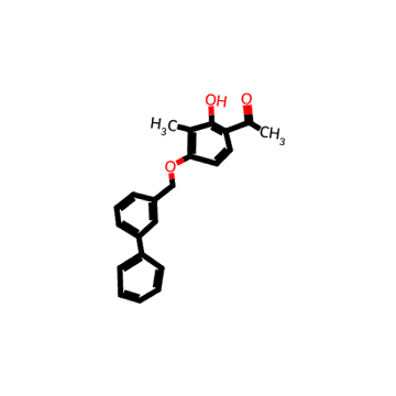 CC(=O)c1ccc(OCc2cccc(-c3ccccc3)c2)c(C)c1O